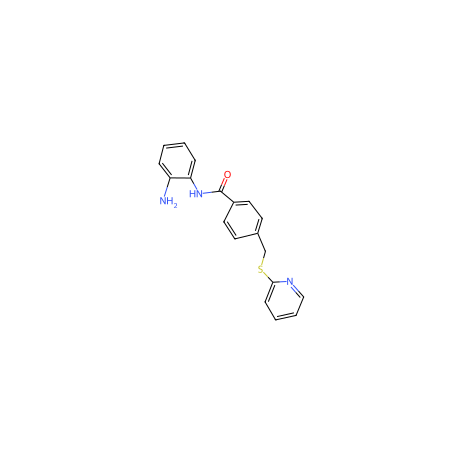 Nc1ccccc1NC(=O)c1ccc(CSc2ccccn2)cc1